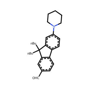 CCCCC1(CCCC)c2cc(C=O)ccc2-c2ccc(N3CCCCC3)cc21